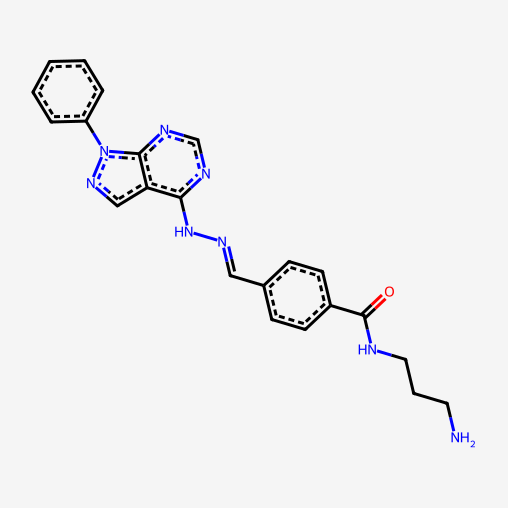 NCCCNC(=O)c1ccc(C=NNc2ncnc3c2cnn3-c2ccccc2)cc1